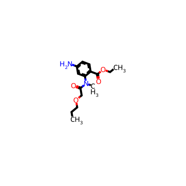 CCCOCC(=O)N(C)c1cc(N)ccc1C(=O)OCC